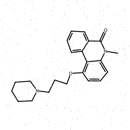 Cn1c(=O)c2ccccc2c2c(OCCCN3CCCCC3)cccc21